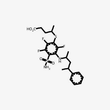 CC(CC(C)c1ccccc1)Nc1c(F)c(SC(C)CCC(=O)O)c(F)c(F)c1S(N)(=O)=O